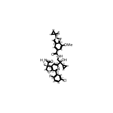 COc1cc(C(=O)NCC(O)(c2cc3c(c(-c4cc(Cl)ccc4F)n2)OC[C@]3(C)C(N)=O)C2CC2)cc2cn(C3(F)CC3)nc12